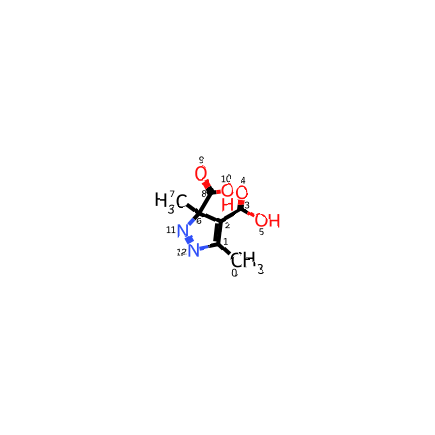 CC1=C(C(=O)O)C(C)(C(=O)O)N=N1